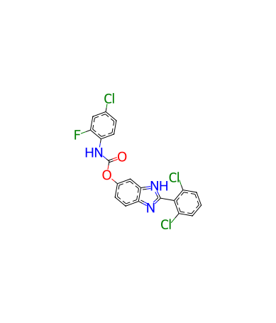 O=C(Nc1ccc(Cl)cc1F)Oc1ccc2nc(-c3c(Cl)cccc3Cl)[nH]c2c1